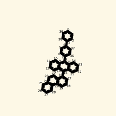 c1ccc(-c2ccc(-c3c4ccccc4c(-c4cccc5c4ccc4ccccc45)c4ccccc34)cc2)cc1